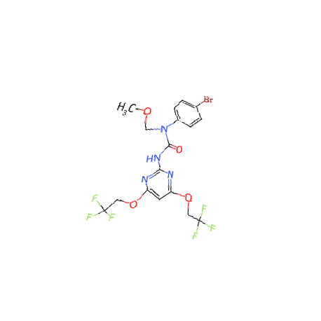 COCN(C(=O)Nc1nc(OCC(F)(F)F)cc(OCC(F)(F)F)n1)c1ccc(Br)cc1